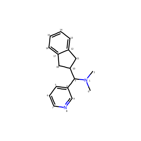 CN(C)C(c1cccnc1)C1Cc2ccccc2C1